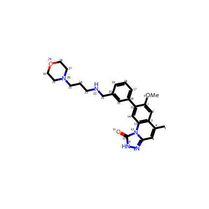 COc1cc2c(C)cc3n[nH]c(=O)n3c2cc1-c1cccc(CNCCCN2CCOCC2)c1